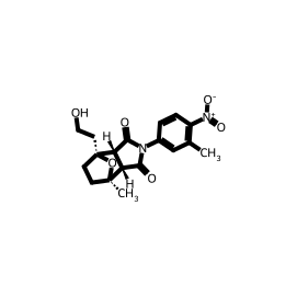 Cc1cc(N2C(=O)[C@@H]3[C@H](C2=O)[C@@]2(C)CC[C@]3(CCO)O2)ccc1[N+](=O)[O-]